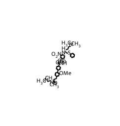 COc1cc(CCC(=O)N(C)CCN(C)C)ccc1-c1ccc(C(=O)NS(=O)(=O)c2ccc(N[C@H](CCCCN(C)C)CSc3ccccc3)c([N+](=O)[O-])c2)cc1